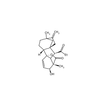 C=C1C[C@]23CC1(C)CC[C@H]2[C@@]12C=C[C@H](O)[C@@](C)(C(=O)O1)C2[C@@H]3C(=O)CC